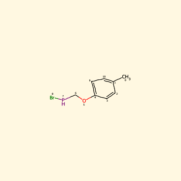 Cc1ccc(OCPBr)cc1